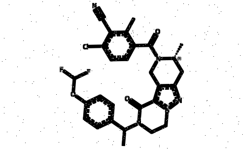 Cc1c(C(=O)N2Cc3c(nn4c3C(=O)N(C(C)c3ccc(OC(F)F)cc3)CC4)C[C@H]2C)ccc(Cl)c1C#N